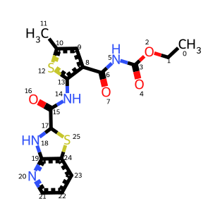 CCOC(=O)NC(=O)c1cc(C)sc1NC(=O)C1Nc2ncccc2S1